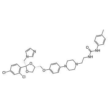 Cc1ccc(NC(=O)NCCN2CCN(c3ccc(OC[C@@H]4CO[C@@](Cn5ccnc5)(c5ccc(Cl)cc5Cl)O4)cc3)CC2)cc1